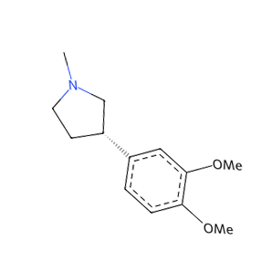 COc1ccc([C@@H]2CCN(C)C2)cc1OC